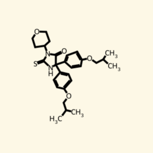 CC(C)COc1ccc(C2(c3ccc(OCC(C)C)cc3)NC(=S)N(C3CCOCC3)C2=O)cc1